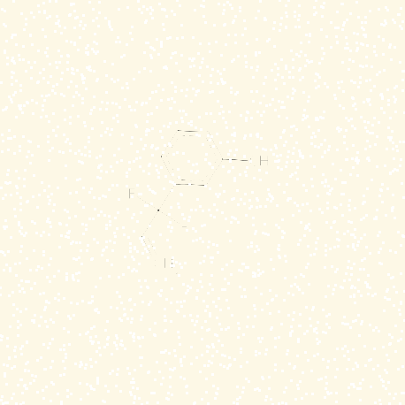 C=CC(F)(F)c1cccc(C)c1